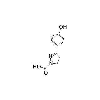 O=C(O)N1CCC(c2ccc(O)cc2)=N1